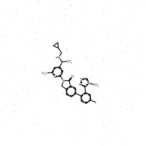 Cc1cc(C(C)NCC2CC2)cc(N2Cc3ccc(-c4ccc(F)cc4-c4nncn4C)cc3C2=O)n1